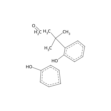 C=O.CC(C)(C)c1ccccc1O.Oc1ccccc1